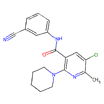 Cc1nc(N2CCCCC2)c(C(=O)Nc2cccc(C#N)c2)cc1Cl